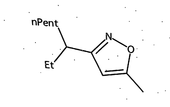 CCCCCC(CC)c1cc(C)on1